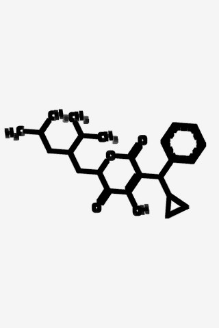 CC(C)CC(CC1OC(=O)C(C(c2ccccc2)C2CC2)=C(O)C1=O)C(C)C